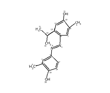 Cc1cc(/N=N/c2cc(C)c(O)cc2C(C)C)ccc1O